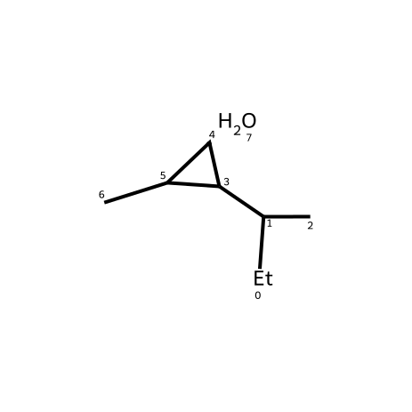 CCC(C)C1CC1C.O